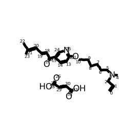 C=CCN(C)CCCCCCOc1ccc(C(=O)C=CC=C(C)C)cn1.O=C(O)C=CC(=O)O